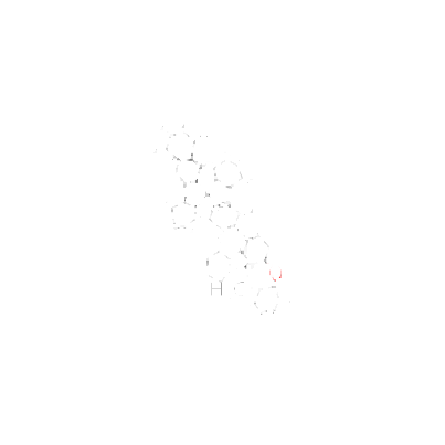 CC1(c2ccccc2)c2ccccc2Oc2ccc(-c3ccc4c(c3)-c3ccccc3C43c4ccccc4-c4cc5ccccc5cc43)cc21